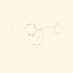 COc1ccc2c(c1)c(S(C)(=O)=O)cn2CC1=NCCN1